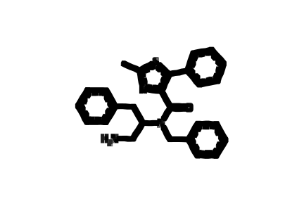 Cc1nc(C(=O)N(Cc2ccccc2)C(CN)Cc2ccccc2)c(-c2ccccc2)s1